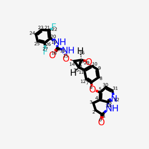 O=C1CCc2c(Oc3ccc4c(c3)[C@H]3[C@H](ONC(=O)Nc5c(F)cccc5F)[C@H]3O4)ccnc2N1